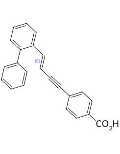 O=C(O)c1ccc(C#C/C=C/c2ccccc2-c2ccccc2)cc1